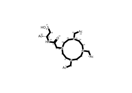 CC(=O)CN1CCN(CC(C)=O)CCN(CC(=O)N[C@@H](CS(=O)(=O)O)C(C)=O)CCN(CC(C)=O)CC1